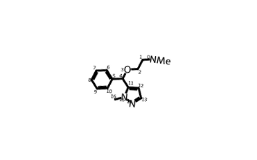 CNCCOC(c1ccccc1)c1ccnn1C